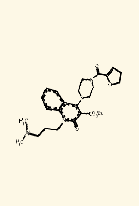 CCOC(=O)c1c(N2CCN(C(=O)C3=CCCO3)CC2)c2ccccc2n(CCCN(C)C)c1=O